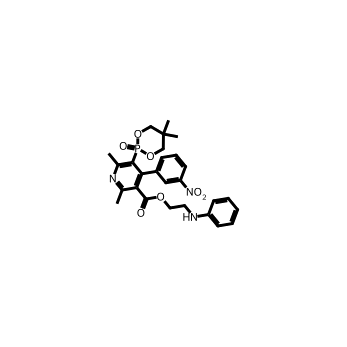 Cc1nc(C)c(P2(=O)OCC(C)(C)CO2)c(-c2cccc([N+](=O)[O-])c2)c1C(=O)OCCNc1ccccc1